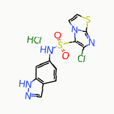 Cl.O=S(=O)(Nc1ccc2cn[nH]c2c1)c1c(Cl)nc2sccn12